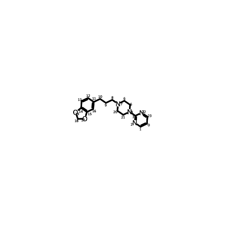 c1cnc(N2CCN(CCCc3ccc4c(c3)OCO4)CC2)nc1